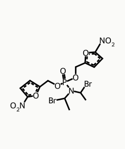 CC(Br)N(C(C)Br)P(=O)(OCc1ccc([N+](=O)[O-])o1)OCc1ccc([N+](=O)[O-])o1